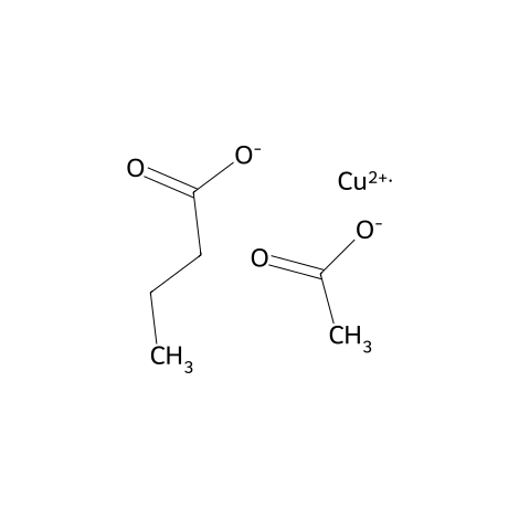 CC(=O)[O-].CCCC(=O)[O-].[Cu+2]